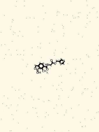 Cc1c(C(=O)NCC(=O)OCc2cncs2)ccc2c1B(O)OC2